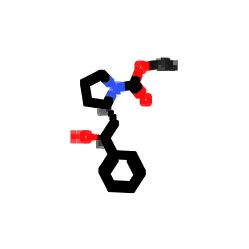 CC(C)(C)OC(=O)N1CCC[C@H]1C[C@@H](O)c1ccccc1